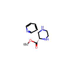 CC(C)(C)OC(=O)[C@@H]1CNCCN1.c1ccncc1